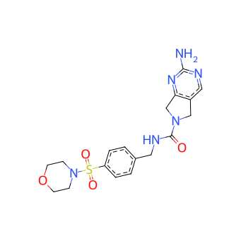 Nc1ncc2c(n1)CN(C(=O)NCc1ccc(S(=O)(=O)N3CCOCC3)cc1)C2